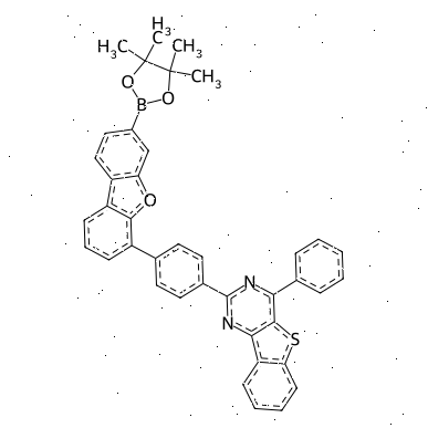 CC1(C)OB(c2ccc3c(c2)oc2c(-c4ccc(-c5nc(-c6ccccc6)c6sc7ccccc7c6n5)cc4)cccc23)OC1(C)C